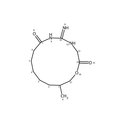 CC1CCCCCC(=O)NC(=N)NCC(=O)OC1